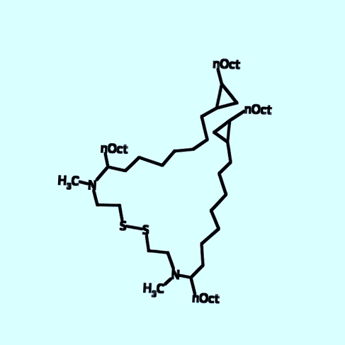 CCCCCCCCC1CC1CCCCCCCC(CCCCCCCC)N(C)CCSSCCN(C)C(CCCCCCCC)CCCCCCCC1CC1CCCCCCCC